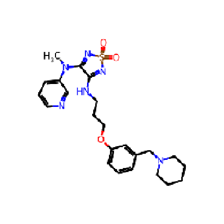 CN(C1=NS(=O)(=O)N=C1NCCCOc1cccc(CN2CCCCC2)c1)c1cccnc1